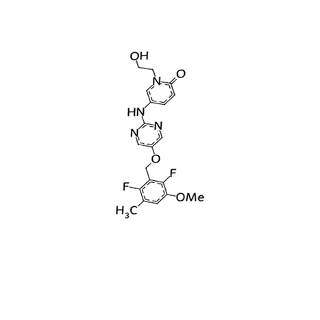 COc1cc(C)c(F)c(COc2cnc(Nc3ccc(=O)n(CCO)c3)nc2)c1F